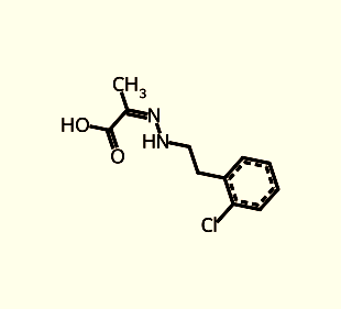 CC(=NNCCc1ccccc1Cl)C(=O)O